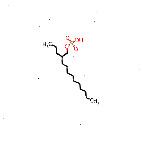 CCCCCCCCCCC(CCC)COS(=O)(=O)O